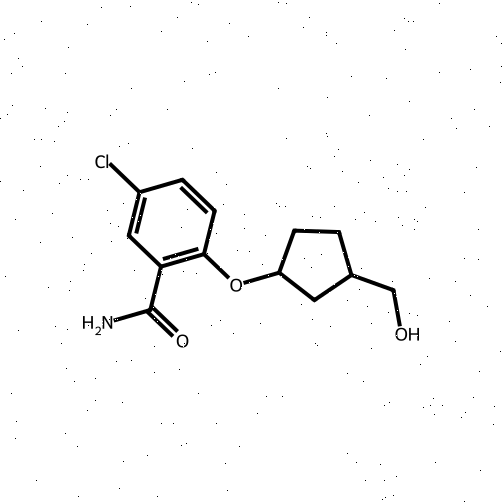 NC(=O)c1cc(Cl)ccc1OC1CCC(CO)C1